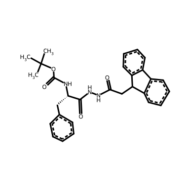 CC(C)(C)OC(=O)N[C@@H](Cc1ccccc1)C(=O)NNC(=O)CC1c2ccccc2-c2ccccc21